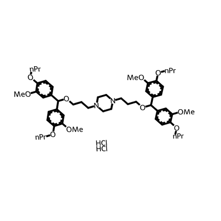 CCCOc1ccc(C(OCCCN2CCN(CCCOC(c3ccc(OCCC)c(OC)c3)c3ccc(OCCC)c(OC)c3)CC2)c2ccc(OCCC)c(OC)c2)cc1OC.Cl.Cl